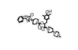 Cc1cc(CC(OC(=O)N2CCC(n3nc(-c4ccccc4)[nH]c3=O)CC2)C(=O)N2CCC(N3CCN(C)CC3)CC2)cc(C)c1O